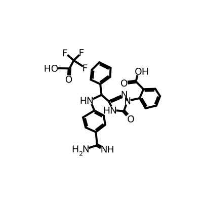 N=C(N)c1ccc(NC(c2ccccc2)c2nn(-c3ccccc3C(=O)O)c(=O)[nH]2)cc1.O=C(O)C(F)(F)F